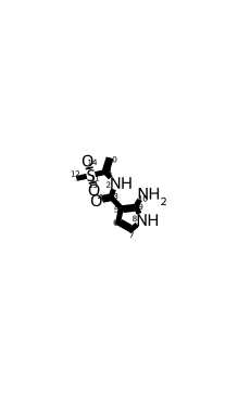 C=C(NC(=O)c1cc[nH]c1N)S(C)(=O)=O